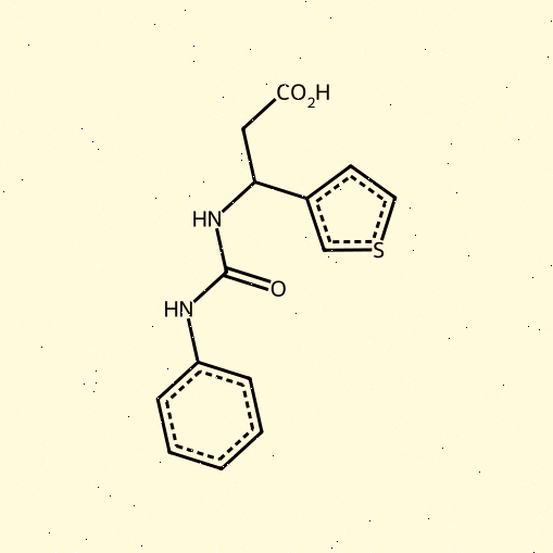 O=C(O)CC(NC(=O)Nc1ccccc1)c1ccsc1